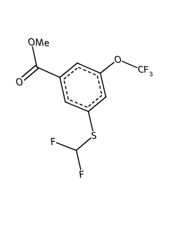 COC(=O)c1cc(OC(F)(F)F)cc(SC(F)F)c1